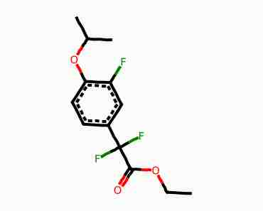 CCOC(=O)C(F)(F)c1ccc(OC(C)C)c(F)c1